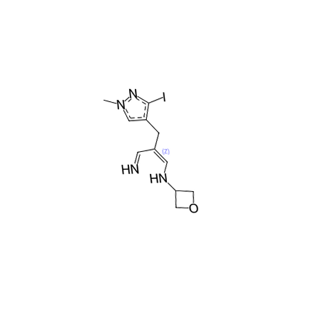 Cn1cc(C/C(C=N)=C/NC2COC2)c(I)n1